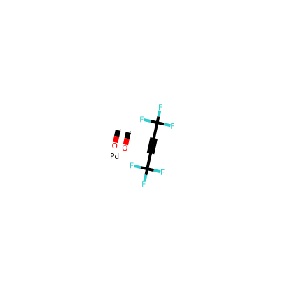 FC(F)(F)C#CC(F)(F)F.[C]=O.[C]=O.[Pd]